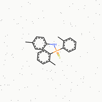 Cc1ccc(NP(=S)(c2ccccc2C)c2ccccc2C)cc1